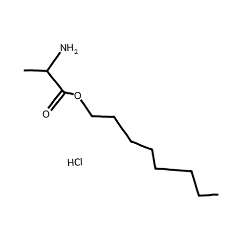 CCCCCCCCOC(=O)C(C)N.Cl